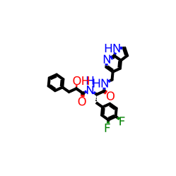 O=C(N[C@@H](Cc1ccc(F)c(F)c1)C(=O)NCc1cnc2[nH]ccc2c1)[C@H](O)Cc1ccccc1